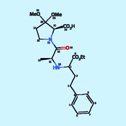 CCOC(=O)C(CCc1ccccc1)N[C@@H](C)C(=O)N1CCC(OC)(OC)[C@H]1C(=O)O